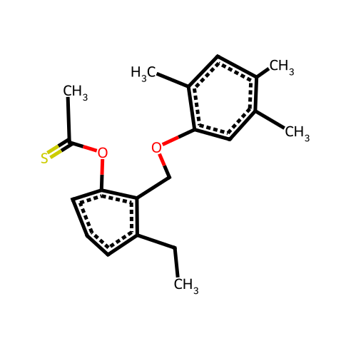 CCc1cccc(OC(C)=S)c1COc1cc(C)c(C)cc1C